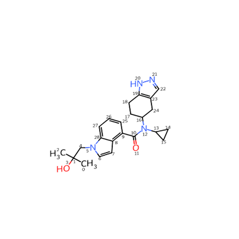 CC(C)(O)Cn1ccc2c(C(=O)N(C3CC3)C3CCc4[nH]ncc4C3)cccc21